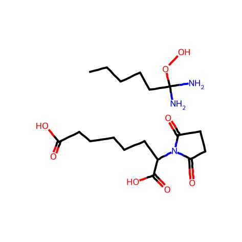 CCCCCC(N)(N)OO.O=C(O)CCCCCC(C(=O)O)N1C(=O)CCC1=O